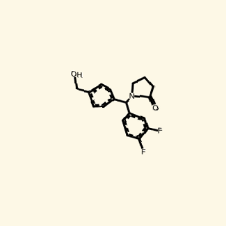 O=C1CCCN1C(c1ccc(CO)cc1)c1ccc(F)c(F)c1